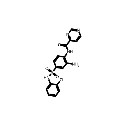 Nc1cc(S(=O)(=O)Nc2ccccc2Cl)ccc1NC(=O)c1ccncn1